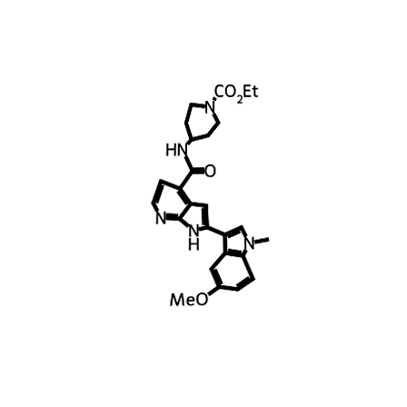 CCOC(=O)N1CCC(NC(=O)c2ccnc3[nH]c(-c4cn(C)c5ccc(OC)cc45)cc23)CC1